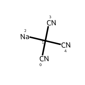 N#C[C]([Na])(C#N)C#N